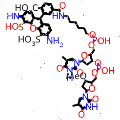 CO[C@@H]1CC(n2cc(C)c(=O)[nH]c2=O)OC1COP(O)O[C@@H]1CC(n2cc(C)c(=O)[nH]c2=O)OC1COP(O)OCCCCCCNC(=O)c1ccc(C(=O)O)c(-c2c3ccc(=N)c(SO)c-3oc3c(S(=O)(=O)O)c(N)ccc23)c1